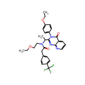 CCOCCN(C(=O)Cc1ccc(C(F)(F)F)cc1)C(C)c1nc2ncccc2c(=O)n1-c1ccc(OCC)cc1